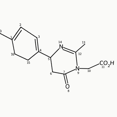 CC1=CC=C(C2CC(=O)N(CC(=O)O)C(C)=N2)CC1